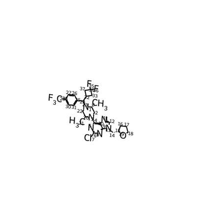 C[C@@H]1CN(c2nc(Cl)nc3c2ncn3C[C@@H]2CCCO2)[C@@H](C)CN1C(c1ccc(C(F)(F)F)cc1)C1CC(F)(F)C1